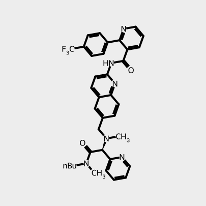 CCCCN(C)C(=O)[C@H](c1ccccn1)N(C)Cc1ccc2nc(NC(=O)c3cccnc3-c3ccc(C(F)(F)F)cc3)ccc2c1